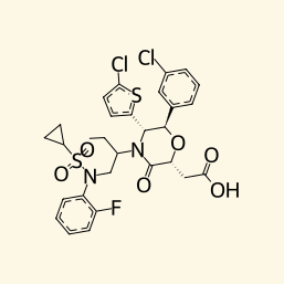 CCC(CN(c1ccccc1F)S(=O)(=O)C1CC1)N1C(=O)[C@@H](CC(=O)O)O[C@H](c2cccc(Cl)c2)[C@H]1c1ccc(Cl)s1